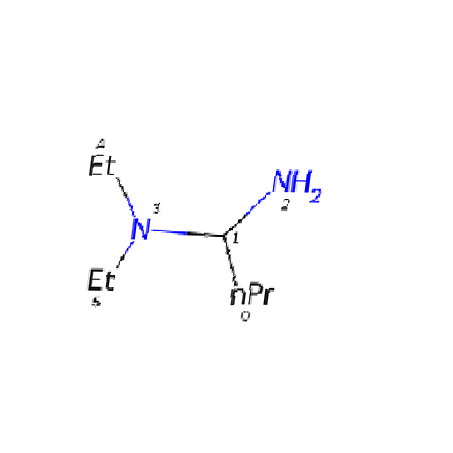 [CH2]CCC(N)N(CC)CC